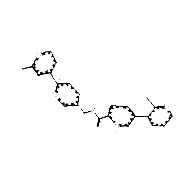 Cc1ncccc1-c1ccc(C(=O)NCc2ccc(-c3ccnc(C(F)(F)F)c3)nc2)nc1